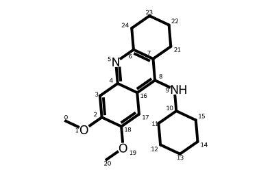 COc1cc2nc3c(c(NC4CCCCC4)c2cc1OC)CCCC3